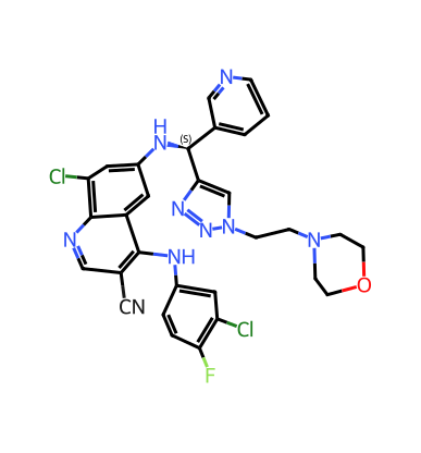 N#Cc1cnc2c(Cl)cc(N[C@@H](c3cccnc3)c3cn(CCN4CCOCC4)nn3)cc2c1Nc1ccc(F)c(Cl)c1